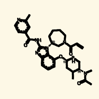 C=CC(=O)N1CCCC[C@@H](n2c(NC(=O)c3ccnc(C)c3)nc3cccc(O[C@@H]4CC(C)[C@@H](N(C)C(C)=O)CP4)c32)C1